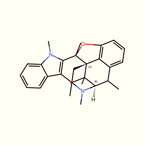 CC1c2cccc3c2[C@]24CCN(C)[C@H]1C2(C)C(C)c1c(n(C)c2ccccc12)C4(C)O3